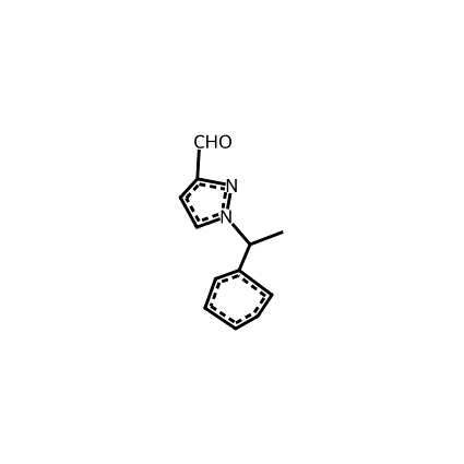 CC(c1ccccc1)n1ccc(C=O)n1